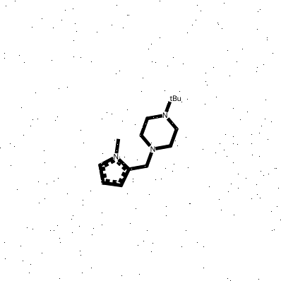 Cn1cccc1CN1CCN(C(C)(C)C)CC1